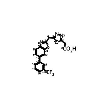 O=C(O)Cc1nnc(Cc2nc3ccc(-c4cccc(C(F)(F)F)c4)cc3s2)o1